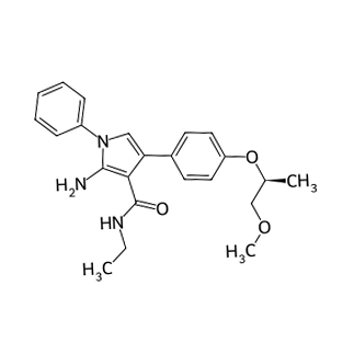 CCNC(=O)c1c(-c2ccc(O[C@@H](C)COC)cc2)cn(-c2ccccc2)c1N